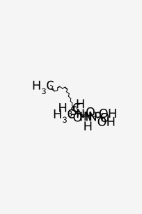 CC/C=C\C/C=C\C/C=C\CCCCCCCCSC(CC)(CC)C(=O)NCCNC(=O)Nc1ccc(O)c(C(=O)O)c1